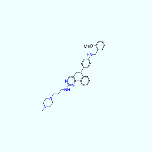 COc1ccccc1CNc1ccc(C2Cc3cnc(NCCCN4CCN(C)CC4)nc3-c3ccccc32)cc1